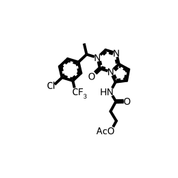 CC(=O)OCCC(=O)Nc1ccc2ncn(C(C)c3ccc(Cl)c(C(F)(F)F)c3)c(=O)n12